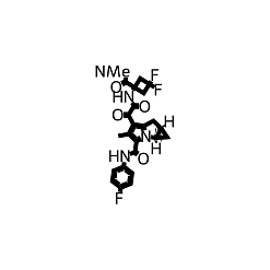 CNC(=O)C1(NC(=O)C(=O)c2c(C)c(C(=O)Nc3ccc(F)cc3)n3c2C[C@H]2C[C@H]23)CC(F)(F)C1